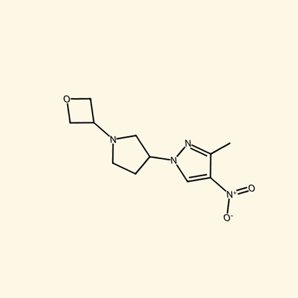 Cc1nn(C2CCN(C3COC3)C2)cc1[N+](=O)[O-]